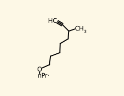 C#CC(C)CCCCCO[CH]CC